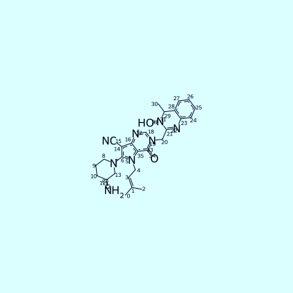 CC(C)=CCn1c(N2CCC[C@H](N)C2)c(C#N)c2ncn(CC3=Nc4ccccc4C(C)N3O)c(=O)c21